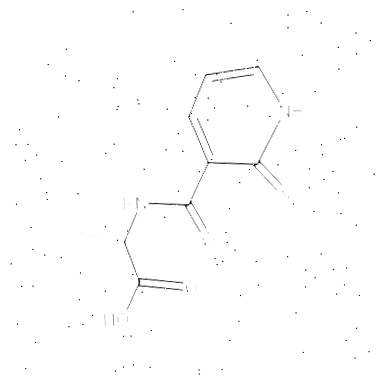 C[C@H](NC(=O)c1ccc[nH]c1=S)C(=O)O